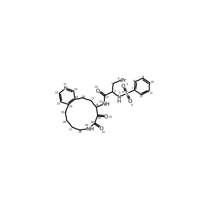 CC(C)CC(NS(=O)(=O)c1ccccc1)C(=O)NC1CCc2cnccc2CCCCNC(=O)C1=O